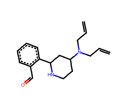 C=CCN(CC=C)C1CCNC(c2ccccc2C=O)C1